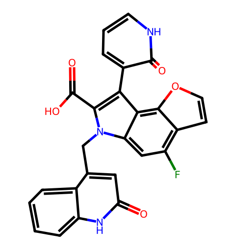 O=C(O)c1c(-c2ccc[nH]c2=O)c2c3occc3c(F)cc2n1Cc1cc(=O)[nH]c2ccccc12